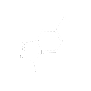 Bc1ccn2c(C)nnc2c1